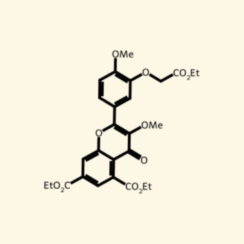 CCOC(=O)COc1cc(-c2oc3cc(C(=O)OCC)cc(C(=O)OCC)c3c(=O)c2OC)ccc1OC